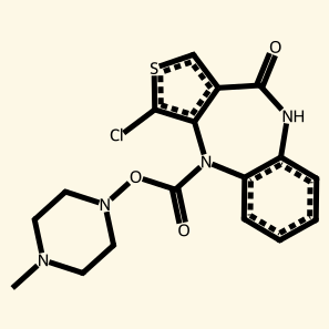 CN1CCN(OC(=O)N2c3ccccc3NC(=O)c3csc(Cl)c32)CC1